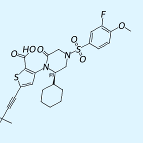 COc1ccc(S(=O)(=O)N2CC(=O)N(c3cc(C#CC(C)(C)C)sc3C(=O)O)[C@H](C3CCCCC3)C2)cc1F